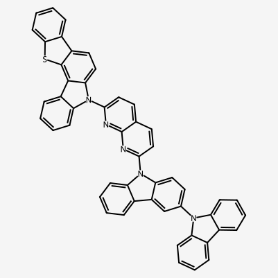 c1ccc2c(c1)sc1c2ccc2c1c1ccccc1n2-c1ccc2ccc(-n3c4ccccc4c4cc(-n5c6ccccc6c6ccccc65)ccc43)nc2n1